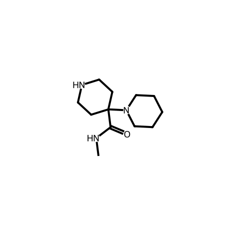 CNC(=O)C1(N2CCCCC2)CCNCC1